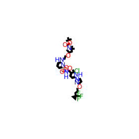 CC(C)(C)OC(=O)N1CC(OCCNc2cccc(S(=O)(=O)NC(=O)C3=CC=C(n4ccc(OCCCC5(C(F)(F)F)CC5)n4)NC3(C)Cl)n2)CC1(C)C